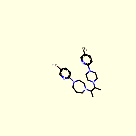 CC(C(C)N1CCN(c2ccc(C(F)(F)F)cn2)CC1)N1CCCN(c2ccc(C(F)(F)F)cn2)CC1